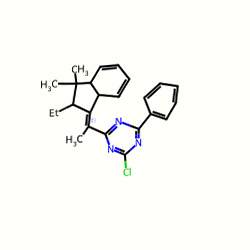 CCC1/C(=C(\C)c2nc(Cl)nc(-c3ccccc3)n2)C2C=CC=CC2C1(C)C